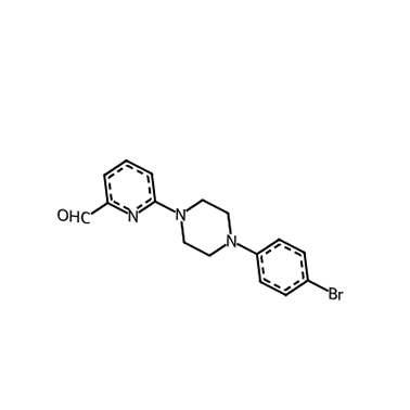 O=Cc1cccc(N2CCN(c3ccc(Br)cc3)CC2)n1